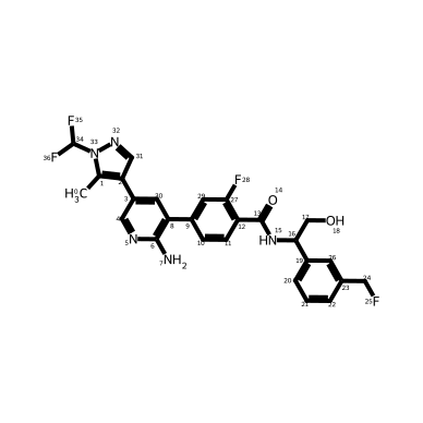 Cc1c(-c2cnc(N)c(-c3ccc(C(=O)NC(CO)c4cccc(CF)c4)c(F)c3)c2)cnn1C(F)F